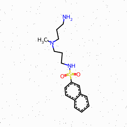 CN(CCCN)CCCNS(=O)(=O)c1ccc2ccccc2c1